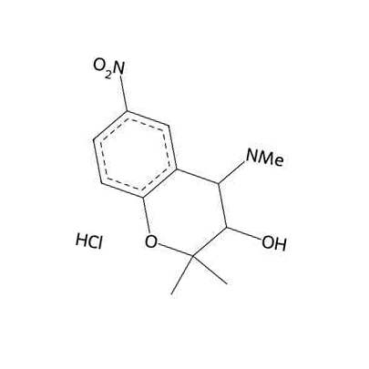 CNC1c2cc([N+](=O)[O-])ccc2OC(C)(C)C1O.Cl